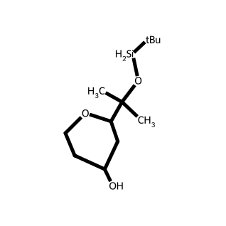 CC(C)(C)[SiH2]OC(C)(C)C1CC(O)CCO1